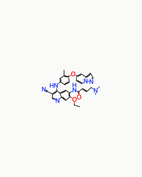 CCOc1cc2ncc(C#N)c(Nc3ccc(Oc4ccn5nccc5c4)c(C)c3)c2cc1NC(=O)/C=C/CN(C)C